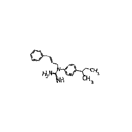 CCC(C)c1ccc(N(C/C=C/c2ccccc2)C(=N)N)cc1